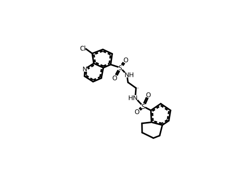 O=S(=O)(N[CH]CNS(=O)(=O)c1ccc(Cl)c2ncccc12)c1cccc2c1CCCC2